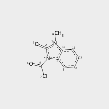 Cn1c(=O)n(C(=O)Cl)c2ccccc21